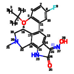 [3H]C([3H])([3H])Oc1ccc(F)cc1-c1cc2c(c3c1CCN(C)C3)NC(=O)/C2=N/O